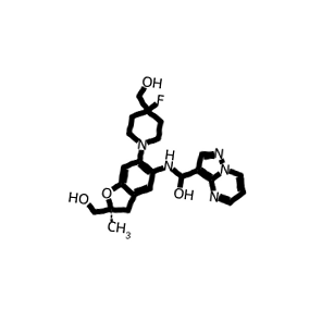 C[C@@]1(CO)Cc2cc(NC(O)c3cnn4cccnc34)c(N3CCC(F)(CO)CC3)cc2O1